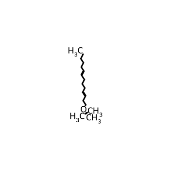 CCCCCC=CCCCC=CCCOC(C)(C)C